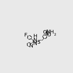 NS(=O)(=O)c1ccc(CCSc2nc(-c3ccccn3)c(-c3ccc(F)cc3)[nH]2)cc1